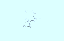 COC(=O)C=C(C)C=CC1(O)C(C)=CC(=O)CC1(C)C(F)(F)F